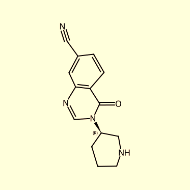 N#Cc1ccc2c(=O)n([C@@H]3CCCNC3)cnc2c1